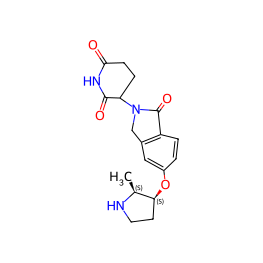 C[C@@H]1NCC[C@@H]1Oc1ccc2c(c1)CN(C1CCC(=O)NC1=O)C2=O